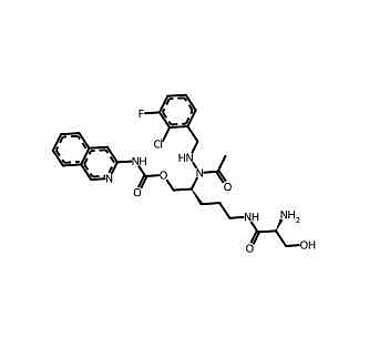 CC(=O)N(NCc1cccc(F)c1Cl)[C@@H](CCCNC(=O)[C@@H](N)CO)COC(=O)Nc1cc2ccccc2cn1